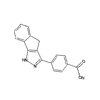 O=C(O)c1ccc(-c2n[nH]c3c2Cc2ccccc2-3)cc1